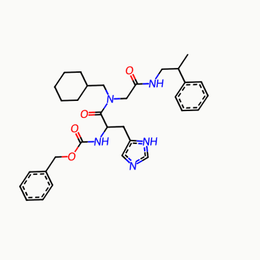 CC(CNC(=O)CN(CC1CCCCC1)C(=O)C(Cc1cnc[nH]1)NC(=O)OCc1ccccc1)c1ccccc1